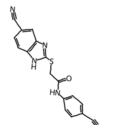 N#Cc1ccc(NC(=O)CSc2nc3cc(C#N)ccc3[nH]2)cc1